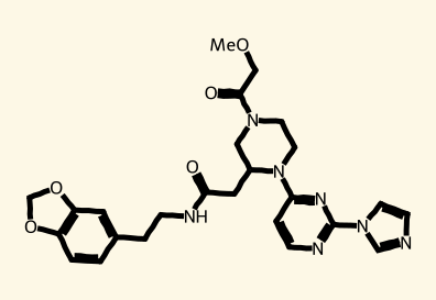 COCC(=O)N1CCN(c2ccnc(-n3ccnc3)n2)C(CC(=O)NCCc2ccc3c(c2)OCO3)C1